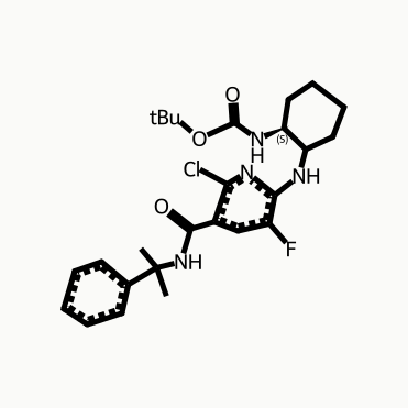 CC(C)(C)OC(=O)N[C@H]1CCCCC1Nc1nc(Cl)c(C(=O)NC(C)(C)c2ccccc2)cc1F